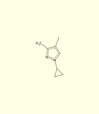 Cc1nn(C2CC2)cc1I